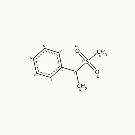 [CH2]C(c1ccccc1)S(C)(=O)=O